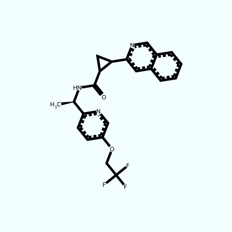 C[C@@H](NC(=O)C1CC1c1cc2ccccc2cn1)c1ccc(OCC(F)(F)F)cn1